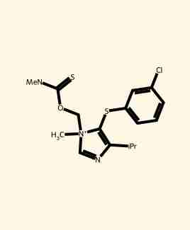 CNC(=S)OC[N+]1(C)C=NC(C(C)C)=C1Sc1cccc(Cl)c1